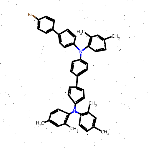 Cc1ccc(N(c2ccc(-c3ccc(Br)cc3)cc2)c2ccc(-c3ccc(N(c4ccc(C)cc4C)c4ccc(C)cc4C)cc3)cc2)c(C)c1